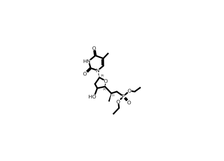 CCOP(=O)(C[C@@H](C)[C@H]1O[C@@H](n2cc(C)c(=O)[nH]c2=O)CC1O)OCC